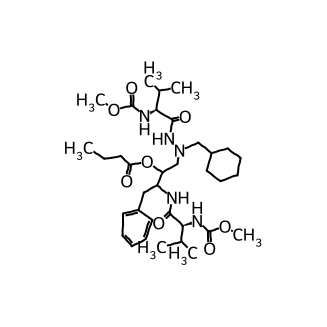 CCCC(=O)OC(CN(CC1CCCCC1)NC(=O)[C@@H](NC(=O)OC)C(C)C)C(Cc1ccccc1)NC(=O)[C@@H](NC(=O)OC)C(C)C